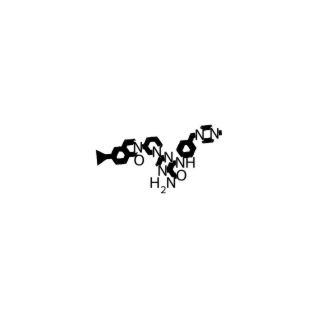 CN1CCN(Cc2ccc(Nc3nc(N4CCCC(n5ccc6cc(C7CC7)ccc6c5=O)C4)cnc3C(N)=O)cc2)CC1